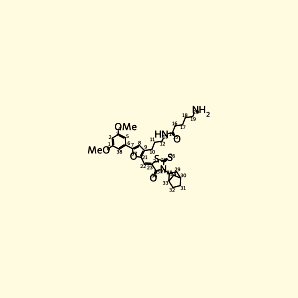 COc1cc(OC)cc(-c2cc(CCCNC(=O)CCCCN)c(/C=C3\SC(=S)N(C4CC5CCC4C5)C3=O)o2)c1